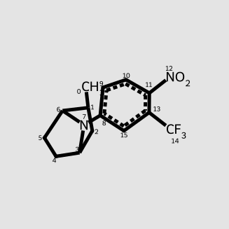 CC1CC2CCC1N2c1ccc([N+](=O)[O-])c(C(F)(F)F)c1